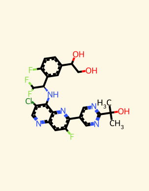 CC(C)(O)c1ncc(-c2nc3c(N[C@H](c4cc(C(O)CO)ccc4F)C(F)F)c(Cl)cnc3cc2F)cn1